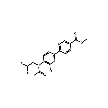 COC(=O)c1ccc(-c2ccc(N(CC(F)F)C(C)=O)c(Cl)c2)nc1